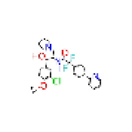 O=C(N[C@H](CN1CCCC1)[C@H](O)c1ccc(OC2CC2)c(Cl)c1)C(F)(F)c1ccc(-c2ccccn2)cc1